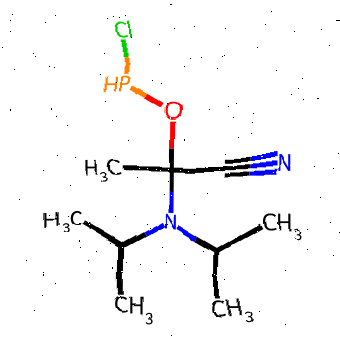 CC(C)N(C(C)C)C(C)(C#N)OPCl